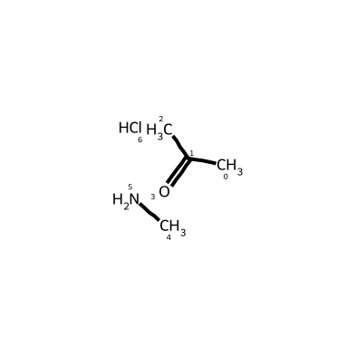 CC(C)=O.CN.Cl